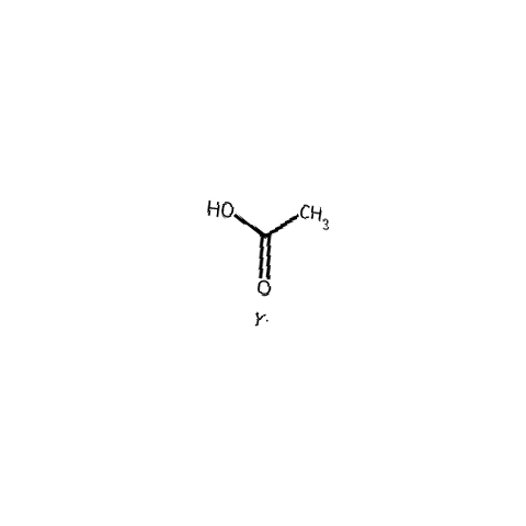 CC(=O)O.[Y]